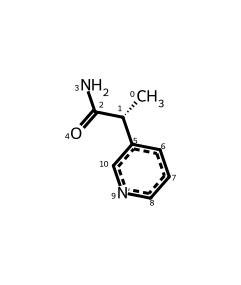 C[C@@H](C(N)=O)c1cccnc1